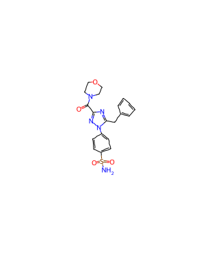 NS(=O)(=O)c1ccc(-n2nc(C(=O)N3CCOCC3)nc2Cc2ccccc2)cc1